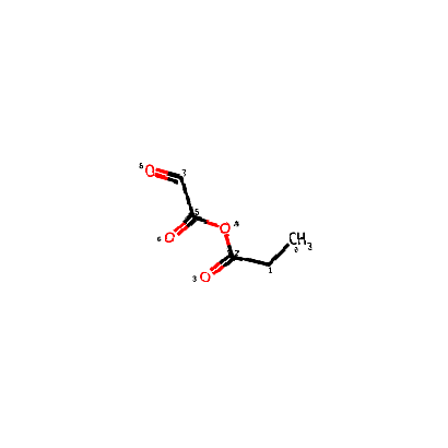 CCC(=O)OC(=O)C=O